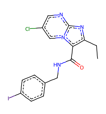 CCc1nc2ncc(Cl)cn2c1C(=O)NCc1ccc(I)cc1